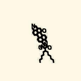 CCCCCCC(CCCCCC)C1C(=O)n2cc3ccc4c5c(=O)cc6cncc7ccc(c8ccc(c2[N+]1=O)c3c84)c5c76